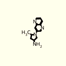 CC1CC(N)CN1c1cnc2cccnc2c1